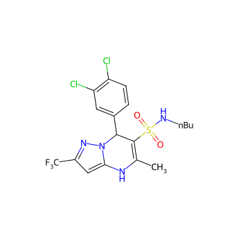 CCCCNS(=O)(=O)C1=C(C)Nc2cc(C(F)(F)F)nn2C1c1ccc(Cl)c(Cl)c1